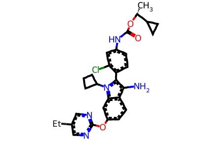 CCc1cnc(Oc2ccc3c(N)c(-c4ccc(NC(=O)O[C@H](C)C5CC5)cc4Cl)n(C4CCC4)c3c2)nc1